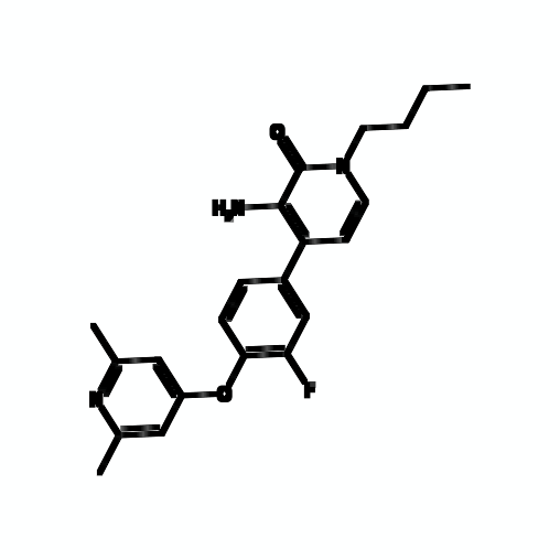 CCCCn1ccc(-c2ccc(Oc3cc(C)nc(C)c3)c(F)c2)c(N)c1=O